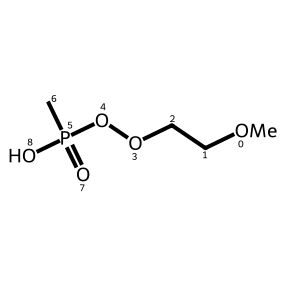 COCCOOP(C)(=O)O